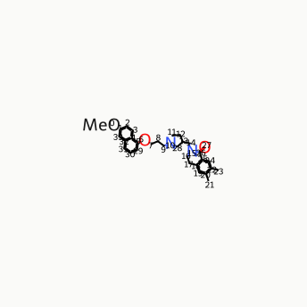 COc1ccc2c(OCCCN3CCC(CN4CCc5cc(C)c(C)cc5C4=O)C3)cccc2c1